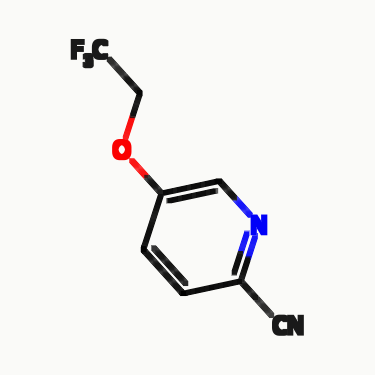 N#Cc1ccc(OCC(F)(F)F)cn1